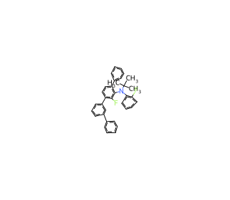 CC(C)(C)N(c1ccccc1F)c1c(-c2ccccc2)ccc(-c2cccc(-c3ccccc3)c2)c1F